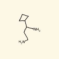 NCCC(N)C1CCC1